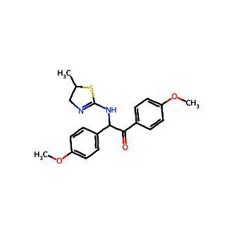 COc1ccc(C(=O)C(NC2=NCC(C)S2)c2ccc(OC)cc2)cc1